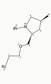 CC(=O)CCOC[C@@H]1C[C@H](C)CN1C(C)C